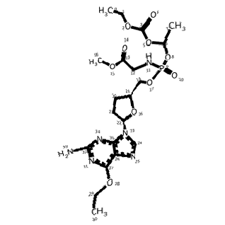 CCOC(=O)OC(C)OP(=O)(NCC(=O)OC)OC[C@@H]1CC[C@H](n2cnc3c(OCC)nc(N)nc32)O1